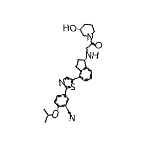 CC(C)Oc1ccc(-c2ncc(-c3cccc4c3CC[C@@H]4NCC(=O)N3CCC[C@H](O)C3)s2)cc1C#N